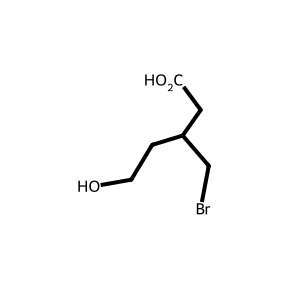 O=C(O)CC(CBr)CCO